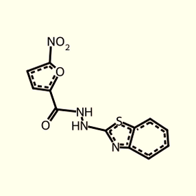 O=C(NNc1nc2ccccc2s1)c1ccc([N+](=O)[O-])o1